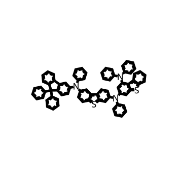 c1ccc(N(c2ccc3c(c2)sc2ccc(N(c4ccccc4)c4ccc5c(c4)-c4ccccc4C5(c4ccccc4)c4ccccc4)cc23)c2cc(N(c3ccccc3)c3ccccc3)c3c(c2)sc2ccccc23)cc1